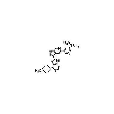 CN1CCN(c2nccc3[nH]c(-c4n[nH]c5cnc(-c6cncc(N(C)C)c6)cc45)nc23)CC1